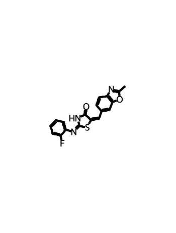 Cc1nc2ccc(C=C3SC(=Nc4ccccc4F)NC3=O)cc2o1